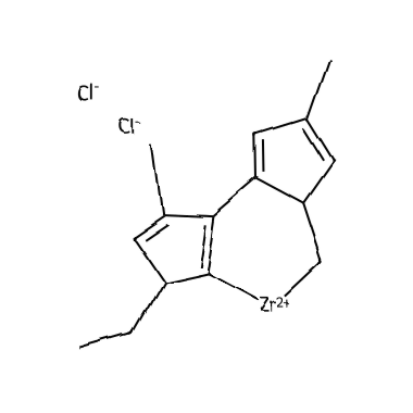 CCC1C=C(C)C=C1C1=[C]([Zr+2])C(CC)C=C1C.[Cl-].[Cl-]